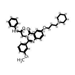 COc1cccc(-c2nc3ccc(OCCCN4CCCCC4)cc3c(=O)n2CC(=O)Nc2ccccc2)c1